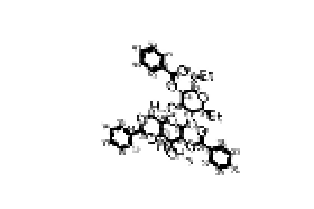 CCSC1OC(CC)[C@H](OC2OC3COC(c4ccccc4)O[C@@H]3[C@H](C)[C@@H]2OC(=O)c2ccccc2)[C@H](C)[C@@H]1OC(=O)c1ccccc1